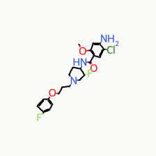 COc1cc(N)c(Cl)cc1C(=O)N[C@@H]1CCN(CCCOc2ccc(F)cc2)C[C@H]1F